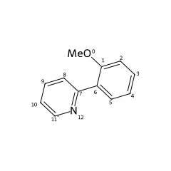 COc1ccccc1-c1ccc[c]n1